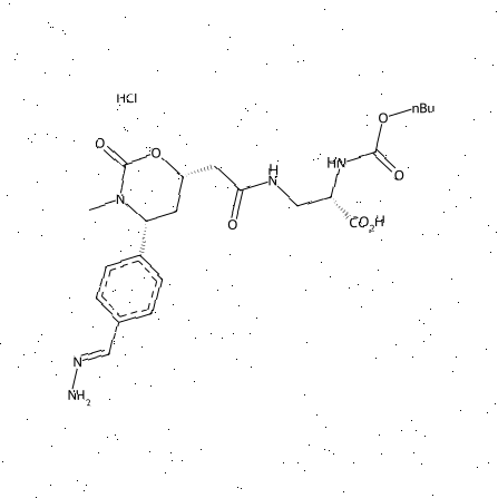 CCCCOC(=O)N[C@@H](CNC(=O)C[C@@H]1C[C@H](c2ccc(C=NN)cc2)N(C)C(=O)O1)C(=O)O.Cl